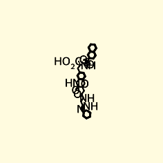 O=C(CC1Oc2ccc(C[C@H](NS(=O)(=O)c3ccc4ccccc4c3)C(=O)O)cc2NC1=O)NCc1nc2ccccc2[nH]1